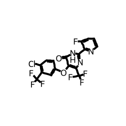 O=c1[nH]c(-c2ncccc2F)nc(C(F)(F)F)c1Oc1ccc(Cl)c(C(F)(F)F)c1